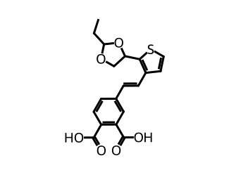 CCC1OCC(c2sccc2/C=C/c2ccc(C(=O)O)c(C(=O)O)c2)O1